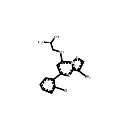 Bc1cnn2c(NC[C@@H](C)O)cc(-c3ccccc3Cl)nc12